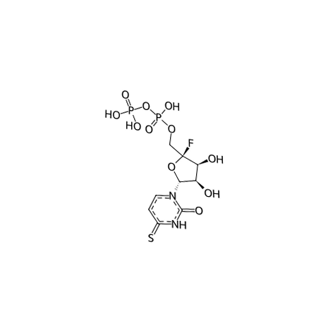 O=c1[nH]c(=S)ccn1[C@@H]1O[C@](F)(COP(=O)(O)OP(=O)(O)O)[C@@H](O)[C@H]1O